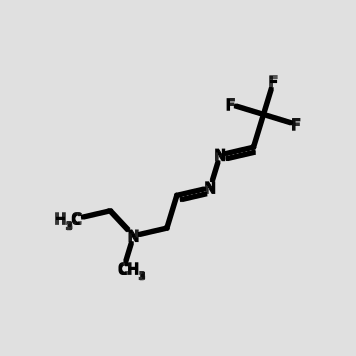 CCN(C)C/C=N/N=C/C(F)(F)F